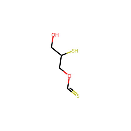 OCC(S)COC=S